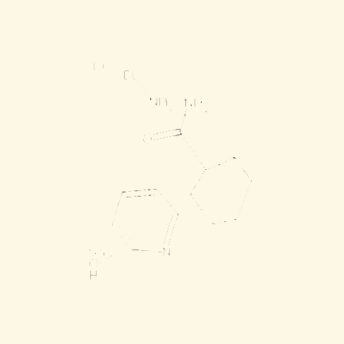 CCN.Cl.Cl.NC(=O)C1CCCCC1.O.c1ccncc1